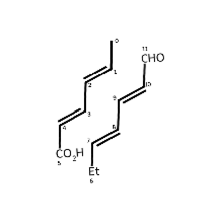 C/C=C/C=C/C(=O)O.CCC=CC=CC=O